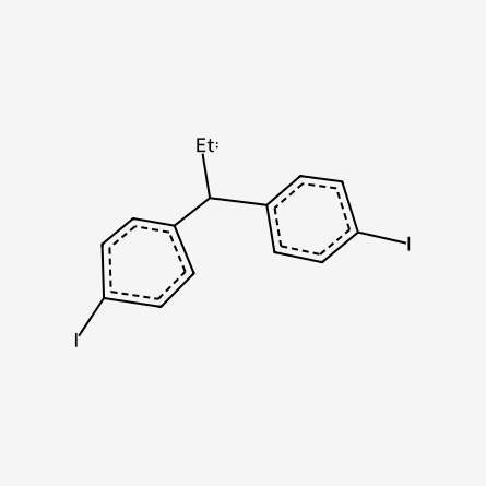 C[C]C(c1ccc(I)cc1)c1ccc(I)cc1